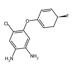 Nc1cc(Cl)c(OC2=CC[C@H](F)C=C2)cc1N